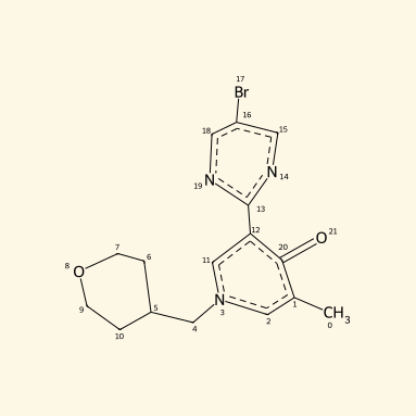 Cc1cn(CC2CCOCC2)cc(-c2ncc(Br)cn2)c1=O